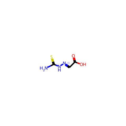 NC(=S)N/N=C/C(=O)O